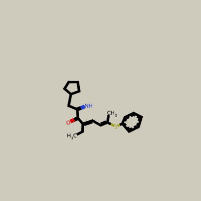 CC/C(=C\C=C(/C)Sc1ccccc1)C(=O)C(=N)CC1CCCC1